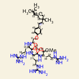 C=C[C@](C)(/C=C/c1ccc(OCC(=O)N[C@@H](CCCNC(=N)N)C(=O)N[C@@H](CCCNC(=N)N)C(=O)N[C@@H](CCCNC(=N)N)C(=O)OC)cc1)CCC=C(C)C